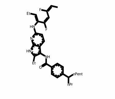 C\C=C(F)/C=C(F)\C(=C\CC)Nc1ccc2c(NC(=O)c3ccc(C(CCC)CCCCC)cc3)c(CC)[nH]c2n1